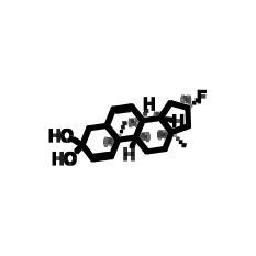 C[C@]12CC[C@H]3[C@@H](C=CC4CC(O)(O)C=C[C@@]43C)[C@@H]1C[C@H](F)C2